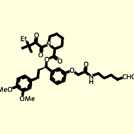 CCC(C)(C)C(=O)C(=O)N1CCCCC1C(=O)O[C@H](CCc1ccc(OC)c(OC)c1)c1cccc(OCC(=O)NCCCCC=O)c1